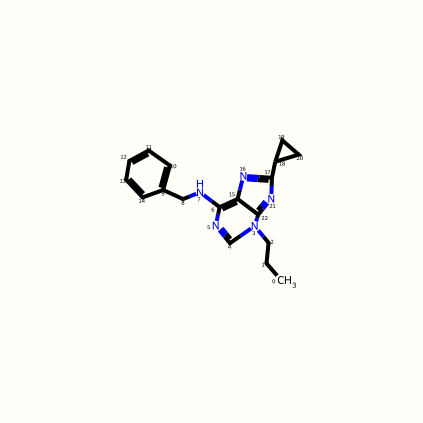 CCCn1cnc(NCc2ccccc2)c2nc(C3CC3)nc1-2